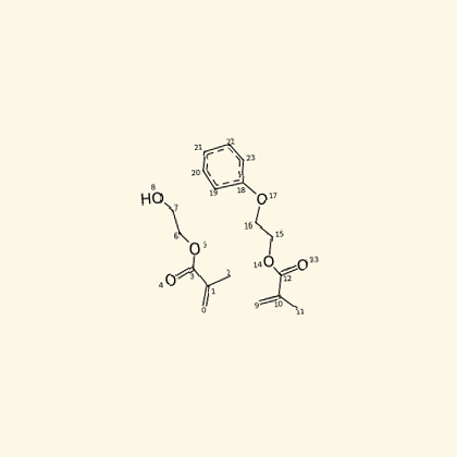 C=C(C)C(=O)OCCO.C=C(C)C(=O)OCCOc1ccccc1